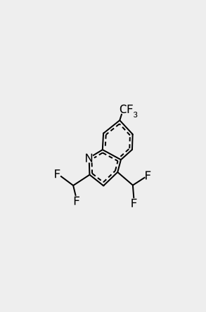 FC(F)c1cc(C(F)F)c2ccc(C(F)(F)F)cc2n1